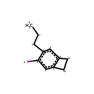 CCCc1cc2c(cc1I)CC2